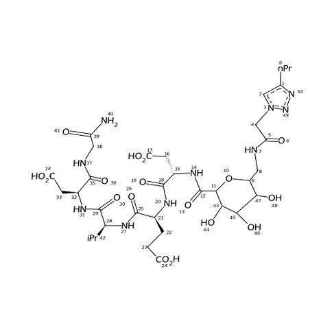 CCCc1cn(CC(=O)NCC2OC(C(=O)N[C@@H](CC(=O)O)C(=O)N[C@@H](CCC(=O)O)C(=O)N[C@H](C(=O)N[C@@H](CC(=O)O)C(=O)NCC(N)=O)C(C)C)C(O)C(O)C2O)nn1